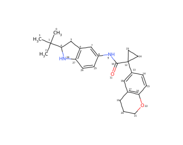 CC(C)(C)C1Cc2cc(NC(=O)C3(c4ccc5c(c4)CCCO5)CC3)ccc2N1